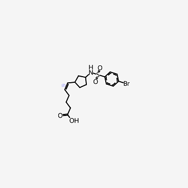 O=C(O)CCC/C=C\C1CCC(NS(=O)(=O)c2ccc(Br)cc2)C1